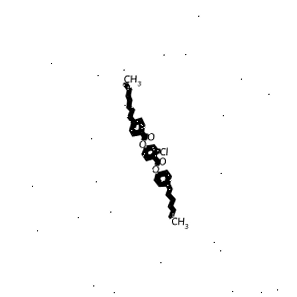 CCCCCCCCc1ccc(C(=O)Oc2ccc(C(=O)Oc3ccc(CCCCCCC)cc3)c(Cl)c2)cc1